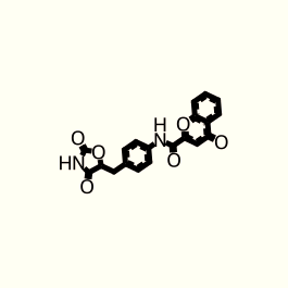 O=C1NC(=O)C(Cc2ccc(NC(=O)c3cc(=O)c4ccccc4o3)cc2)O1